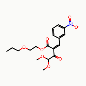 CCCOCCOC(=O)C(=Cc1cccc([N+](=O)[O-])c1)C(=O)C(OC)OC